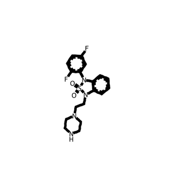 O=S1(=O)N(CCN2CCNCC2)c2ccccc2N1c1cc(F)ccc1F